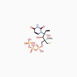 C=C[C@@](O)([C@H](O)[C@@](CF)(COP(=O)(O)OP(=O)(O)OP(=O)(O)O)OC)n1ccc(=O)[nH]c1=O